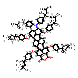 C=C(C)CC(C)(C)c1ccc(Oc2cc(N(c3ccc(C(C)(C)CC(=C)C)cc3)c3ccc(C(C)(C)CC(=C)C)cc3)c3ccc(Oc4ccc(C(C)(C)CC(C)(C)C)cc4)c4c5ccc6c7c(Oc8ccc(/C(C)=C/C(C)(C)C)cc8)cc8c9c(cc(Oc%10ccc(C(C)(C)CC(C)(C)C)cc%10)c(c%10ccc(c2c34)c5c6%10)c97)C(=O)OC8=O)cc1